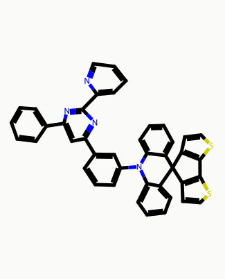 c1ccc(-c2cc(-c3cccc(N4c5ccccc5C5(c6ccccc64)c4ccsc4-c4sccc45)c3)nc(-c3ccccn3)n2)cc1